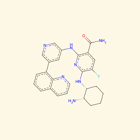 NC(=O)c1cc(F)c(N[C@@H]2CCCC[C@@H]2N)nc1Nc1cncc(-c2cccc3cccnc23)c1